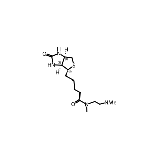 CNCCN(C)C(=O)CCCC[C@@H]1SC[C@@H]2NC(=O)N[C@@H]21